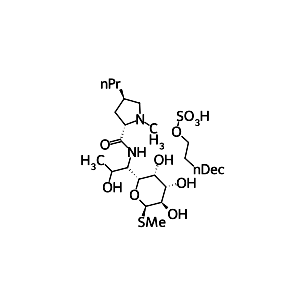 CCCCCCCCCCCCOS(=O)(=O)O.CCC[C@@H]1C[C@@H](C(=O)NC(C(C)O)[C@H]2O[C@H](SC)[C@H](O)[C@@H](O)[C@H]2O)N(C)C1